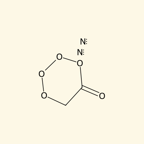 O=C1COOOO1.[N].[N]